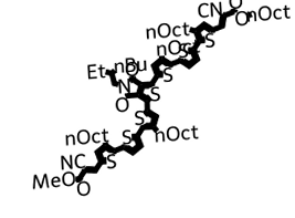 [C-]#[N+]/C(=C\c1cc(CCCCCCCC)c(-c2ccc(-c3sc(-c4sc(-c5cc(CCCCCCCC)c(-c6ccc(-c7sc(/C=C(\C#N)C(=O)OC)cc7CCCCCCCC)s6)s5)c5c4C(=O)N(CC(CC)CCCC)C5=O)cc3CCCCCCCC)s2)s1)C(=O)OCCCCCCCC